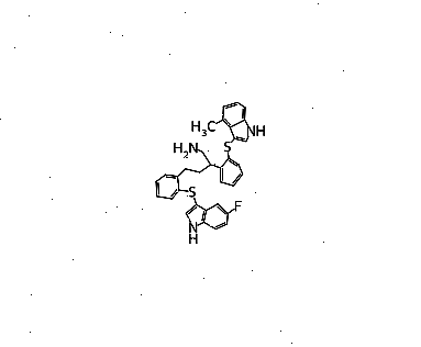 Cc1cccc2[nH]cc(Sc3ccccc3[C](CN)CCc3ccccc3Sc3c[nH]c4ccc(F)cc34)c12